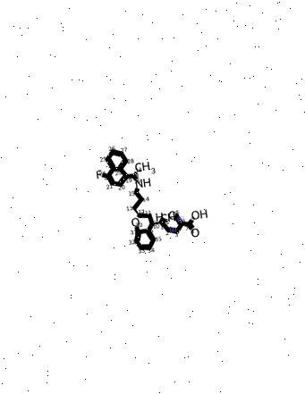 C=C(/C=C\C(=C/C)C(=O)O)[C@@H]1C[C@H](CCCN[C@H](C)c2ccc(F)c3ccccc23)Oc2ccccc21